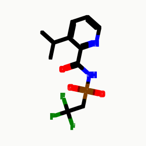 CC(C)c1cccnc1C(=O)NS(=O)(=O)CC(F)(F)F